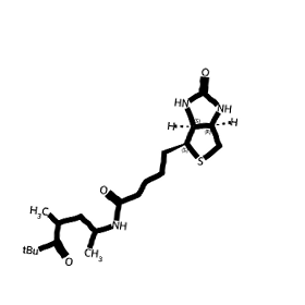 CC(CC(C)C(=O)C(C)(C)C)NC(=O)CCCC[C@@H]1SC[C@@H]2NC(=O)N[C@@H]21